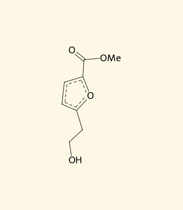 COC(=O)c1ccc(CCO)o1